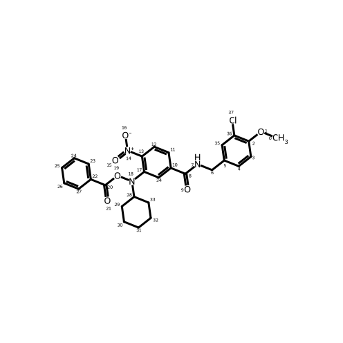 COc1ccc(CNC(=O)c2ccc([N+](=O)[O-])c(N(OC(=O)c3ccccc3)C3CCCCC3)c2)cc1Cl